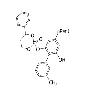 CCCCCc1cc(O)c(-c2cccc(C)c2)c(OP2(=O)OCCC(c3ccccc3)O2)c1